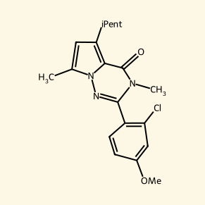 CCCC(C)c1cc(C)n2nc(-c3ccc(OC)cc3Cl)n(C)c(=O)c12